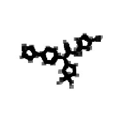 O=C(Nc1ncc(Cl)s1)C(c1ccc(-c2ccoc2)cc1)C1CCC(F)(F)C1